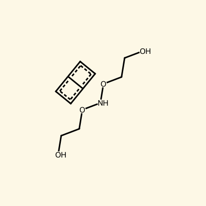 OCCONOCCO.c1cc2ccc1-2